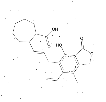 C=Cc1c(C)c2c(c(O)c1CC=CC1CCCCCC1C(=O)O)C(=O)OC2